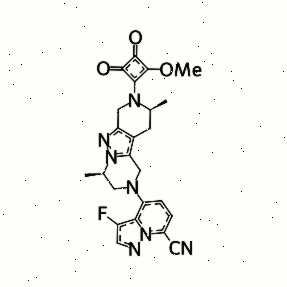 COc1c(N2Cc3nn4c(c3C[C@@H]2C)CN(c2ccc(C#N)n3ncc(F)c23)C[C@H]4C)c(=O)c1=O